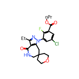 CCCOC(=O)c1cc(Cl)cc(-n2nc(CC)c3c2CC2(CCOCC2)CNC3=O)c1F